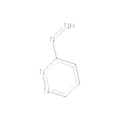 N=Nc1cccnn1